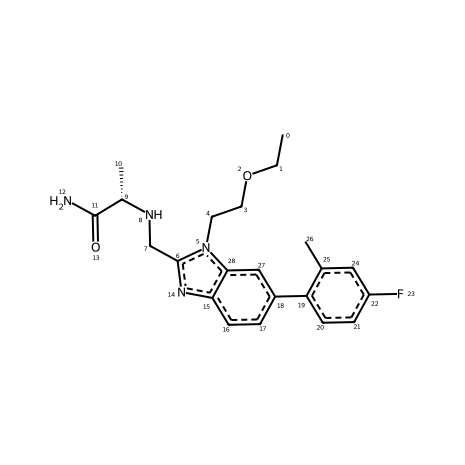 CCOCCn1c(CN[C@@H](C)C(N)=O)nc2ccc(-c3ccc(F)cc3C)cc21